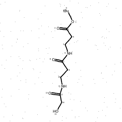 CC(C)(C)OC(=O)CCNC(=O)CCNC(=O)CO